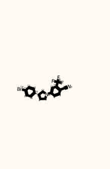 N#Cc1ccc(N2CC[C@H](c3ccc(Br)cc3)C2)cc1C(F)(F)F